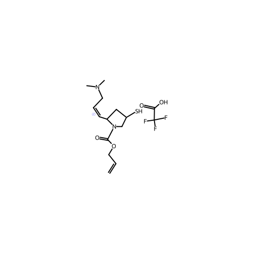 C=CCOC(=O)N1CC(S)CC1/C=C\CN(C)C.O=C(O)C(F)(F)F